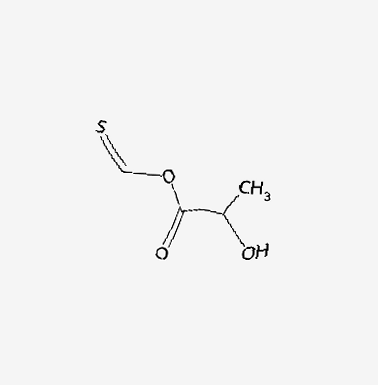 CC(O)C(=O)OC=S